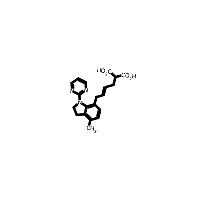 Cc1ccc(CC=CCC(C(=O)O)C(=O)O)c2c1CCN2c1ncccn1